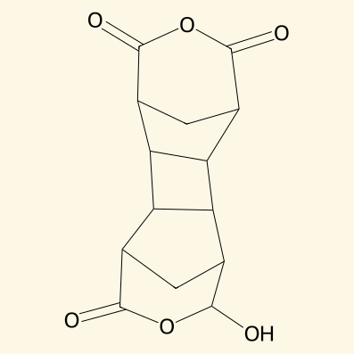 O=C1OC(=O)C2CC1C1C2C2C3CC(C(=O)OC3O)C12